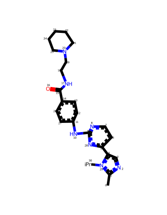 Cc1ncc(-c2ccnc(Nc3ccc(C(=O)NCCN4CCCCC4)cc3)n2)n1C(C)C